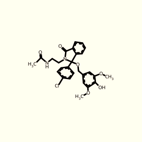 COc1cc(COC2(c3ccc(Cl)cc3)c3ccccc3C(=O)N2CCNC(C)=O)cc(OC)c1O